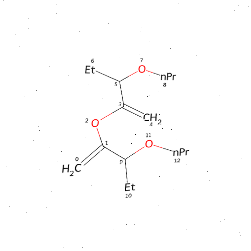 C=C(OC(=C)C(CC)OCCC)C(CC)OCCC